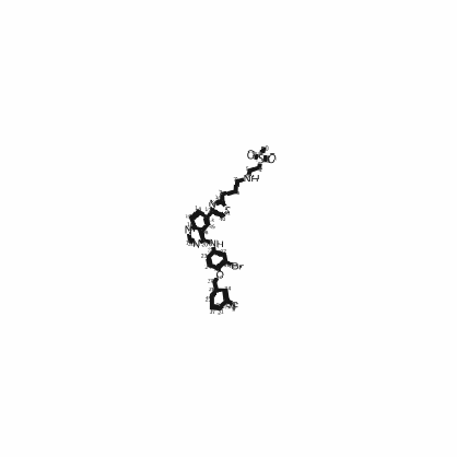 CS(=O)(=O)CCNCCCc1nc(-c2ccc3ncnc(Nc4ccc(OCc5cccc(F)c5)c(Br)c4)c3c2)cs1